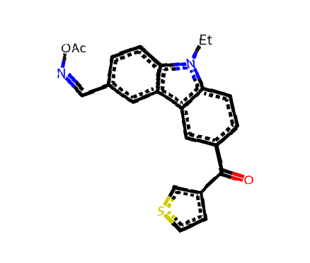 CCn1c2ccc(/C=N\OC(C)=O)cc2c2cc(C(=O)c3ccsc3)ccc21